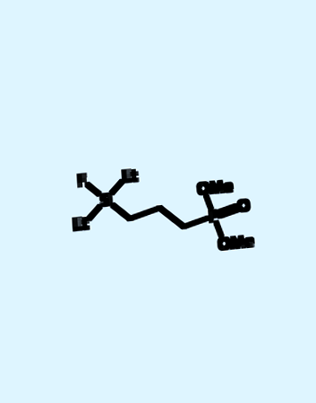 CC[Si](F)(CC)CCCP(=O)(OC)OC